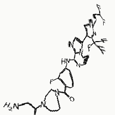 NCC(=O)N1CCN(C(=O)c2ccc(Nc3nccn4c(-c5cn(CC(F)F)nc5C(F)(F)F)cnc34)cc2F)CC1